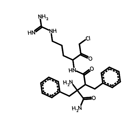 N=C(N)NCCCC(NC(=O)C(Cc1ccccc1)C(N)(Cc1ccccc1)C(N)=O)C(=O)CCl